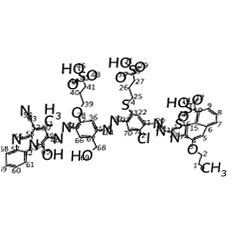 CCCOc1cc2cccc(S(=O)(=O)O)c2c2sc(N=Nc3cc(SCCCS(=O)(=O)O)c(N=Nc4cc(OCCCS(=O)(=O)O)c(N=Nc5c(C)c(C#N)c6nc7ccccc7n6c5O)cc4CO)cc3Cl)nc12